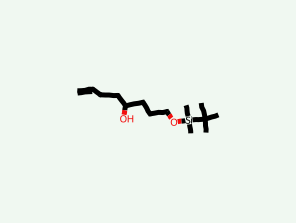 C=CCCC(O)CCCO[Si](C)(C)C(C)(C)C